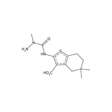 CN(N)C(=O)Nc1sc2c(c1C(=O)O)CC(C)(C)CC2